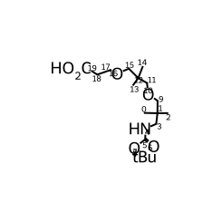 CC(C)(CNC(=O)OC(C)(C)C)COCC(C)(C)COCCC(=O)O